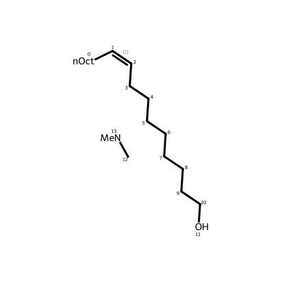 CCCCCCCC/C=C\CCCCCCCCO.CNC